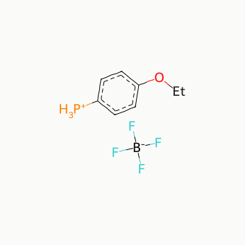 CCOc1ccc([PH3+])cc1.F[B-](F)(F)F